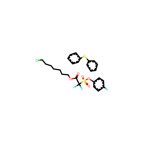 O=C(OCCCCCCCCl)C(F)(F)S(=O)(=O)Oc1ccc(F)cc1.c1ccc(Sc2ccccc2)cc1